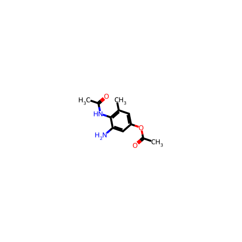 CC(=O)Nc1c(C)cc(OC(C)=O)cc1N